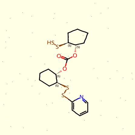 O=C(O[C@H]1CCCC[C@@H]1SS)O[C@H]1CCCC[C@@H]1SSc1ccccn1